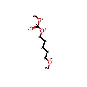 [CH2]OC(=O)OCCCCCOC